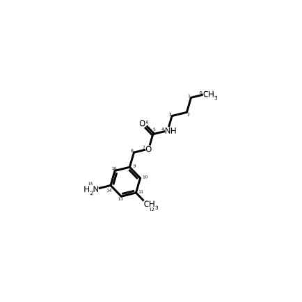 CCCCNC(=O)OCc1cc(C)cc(N)c1